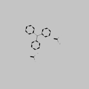 NC(=O)O.NC(=O)O.c1ccc(C(c2ccccc2)c2ccccc2)cc1